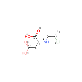 C[C@H](Cl)CNC(CC(=O)O)C(=O)O